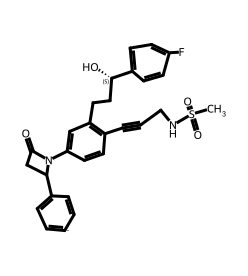 CS(=O)(=O)NCC#Cc1ccc(N2C(=O)CC2c2cc[c]cc2)cc1CC[C@H](O)c1ccc(F)cc1